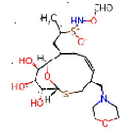 CC(C[C@H]1C/C=C\[C@@H](CN2CCOCC2)CS[C@H]2O[C@H]1[C@H](O)[C@H](O)[C@H]2O)[S+]([O-])NOC=O